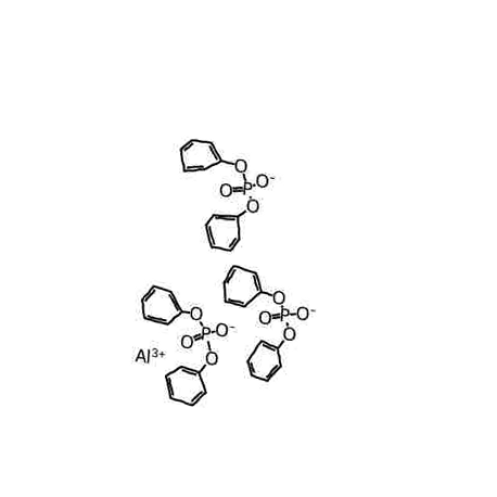 O=P([O-])(Oc1ccccc1)Oc1ccccc1.O=P([O-])(Oc1ccccc1)Oc1ccccc1.O=P([O-])(Oc1ccccc1)Oc1ccccc1.[Al+3]